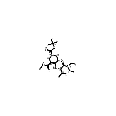 CCN(CC)C(=O)[C@@H](NC1=C(C(=O)OC)CN(C(=O)OC(C)(C)C)CC1)C(C)C